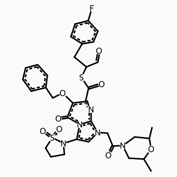 CC1CN(C(=O)Cn2cc(N3CCCS3(=O)=O)n3c(=O)c(OCc4ccccc4)c(C(=O)SC(C=O)Cc4ccc(F)cc4)nc23)CC(C)O1